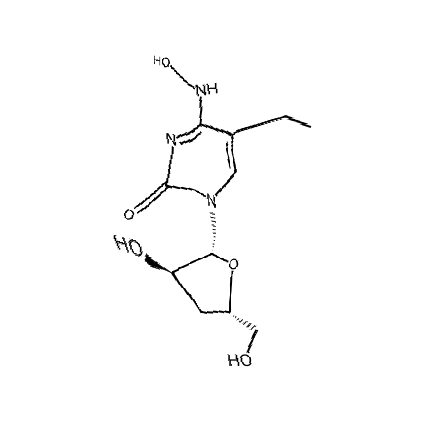 CCc1cn([C@@H]2O[C@H](CO)C[C@H]2O)c(=O)nc1NO